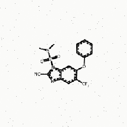 CN(C)S(=O)(=O)n1c(C#N)nc2cc(C(F)(F)F)c(Oc3ccccc3)cc21